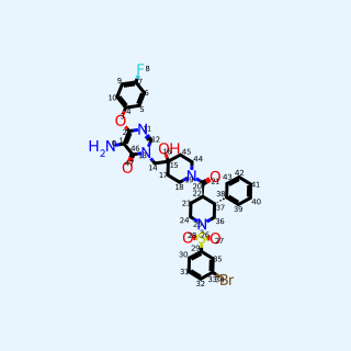 Nc1c(Oc2ccc(F)cc2)ncn(CC2(O)CCN(C(=O)[C@@H]3CCN(S(=O)(=O)c4cccc(Br)c4)C[C@H]3c3ccccc3)CC2)c1=O